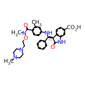 Cc1cc(N/C(=C2/C(=O)Nc3cc(C(=O)O)ccc32)c2ccccc2)ccc1C(=O)N(C)OCCN1CCN(C)CC1